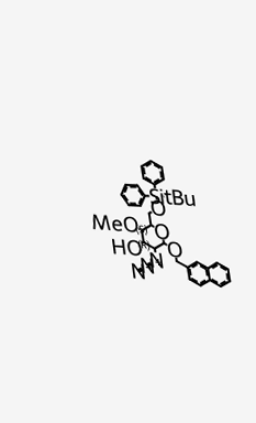 CO[C@@H]1C(CO[Si](c2ccccc2)(c2ccccc2)C(C)(C)C)OC(OCc2ccc3ccccc3c2)C(N=[N+]=[N-])[C@H]1O